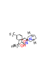 CCCC(O)c1cc(C(F)(F)F)ccc1O[C@H]1C[C@H]2CC[C@@H](C1)N2c1ccc(C(F)(F)F)cn1